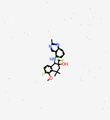 COc1c(F)ccc2c1C(C)(C)CC(O)(C(F)(F)F)C2Nc1cccc2nc(C)ncc12